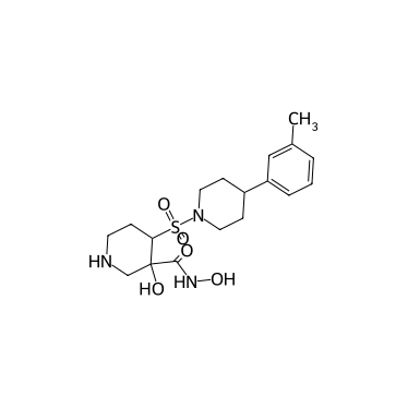 Cc1cccc(C2CCN(S(=O)(=O)C3CCNCC3(O)C(=O)NO)CC2)c1